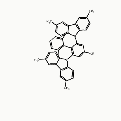 Cc1ccc2c(c1)c1cc(C)ccc1n2-c1cc(C#N)cc(-n2c3ccc(C)cc3c3cc(C)ccc32)c1-c1c(F)cccc1F